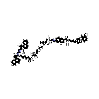 CN(CC(=O)NCOCCOCCNC(=O)CN(C)C(=O)CCCCCN1/C(=C\C=C\C2=[N+](C)c3ccc4ccccc4c3C2(C)C)C(C)(C)c2c1ccc1ccccc21)C(=O)/C=C/c1ccc2cc(C(=O)NCCCCN3CCN(c4cccc(Cl)c4Cl)CC3)ccc2c1